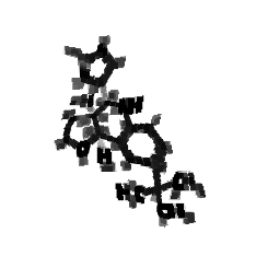 CC(C)(C)c1ccc2c(c1)[C@H]1OCC[C@H]1[C@H](c1ccsc1)N2